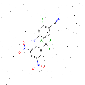 N#Cc1ccc(Nc2c([N+](=O)[O-])cc([N+](=O)[O-])cc2C(F)(F)F)cc1F